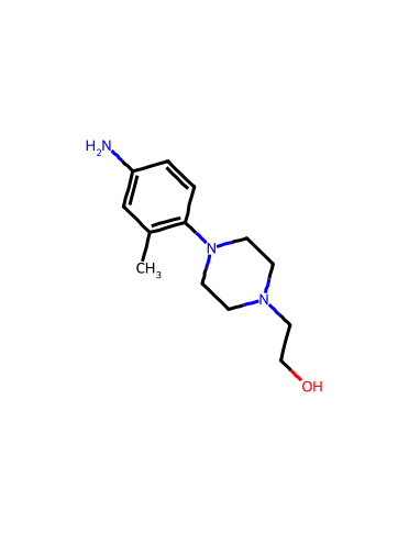 Cc1cc(N)ccc1N1CCN(CCO)CC1